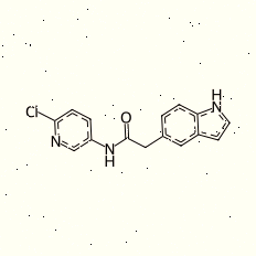 O=C(Cc1ccc2[nH]ccc2c1)Nc1ccc(Cl)nc1